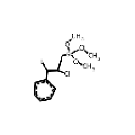 CO[Si](CC(Cl)C(I)c1ccccc1)(OC)OC